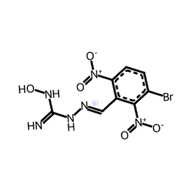 N=C(NO)N/N=C/c1c([N+](=O)[O-])ccc(Br)c1[N+](=O)[O-]